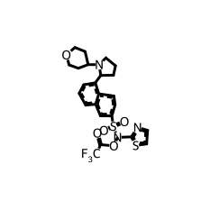 O=C(ON(c1nccs1)S(=O)(=O)c1ccc2c(C3CCCN3C3CCOCC3)cccc2c1)C(F)(F)F